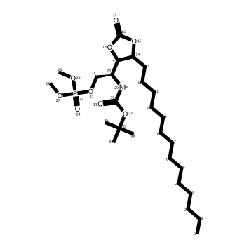 CCCCCCCCCCCCCCC1OC(=O)OC1[C@H](COP(=O)(OC)OC)NC(=O)OC(C)(C)C